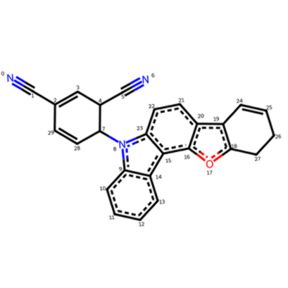 N#CC1=CC(C#N)C(n2c3ccccc3c3c4oc5c(c4ccc32)C=CCC5)C=C1